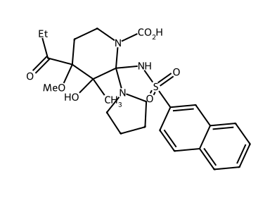 CCC(=O)C1(OC)CCN(C(=O)O)C(NS(=O)(=O)c2ccc3ccccc3c2)(N2CCCC2)C1(C)O